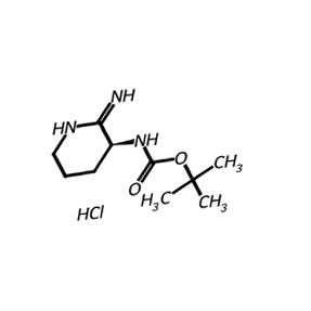 CC(C)(C)OC(=O)N[C@H]1CCCNC1=N.Cl